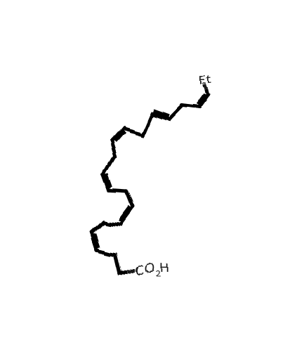 CC/C=C\C/C=C/C/C=C\C/C=C\C/C=C\C/C=C\CCC(=O)O